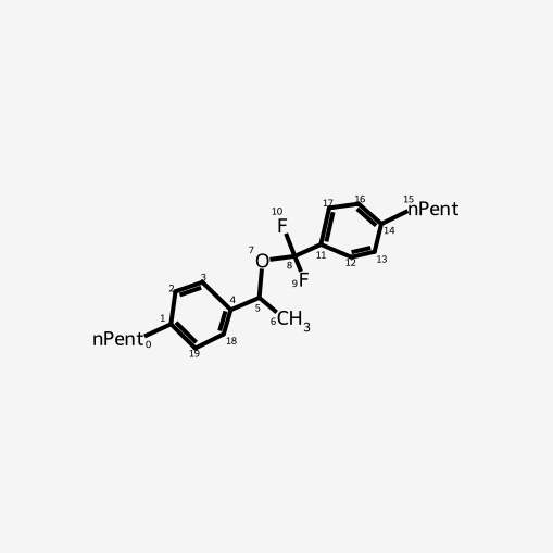 CCCCCc1ccc(C(C)OC(F)(F)c2ccc(CCCCC)cc2)cc1